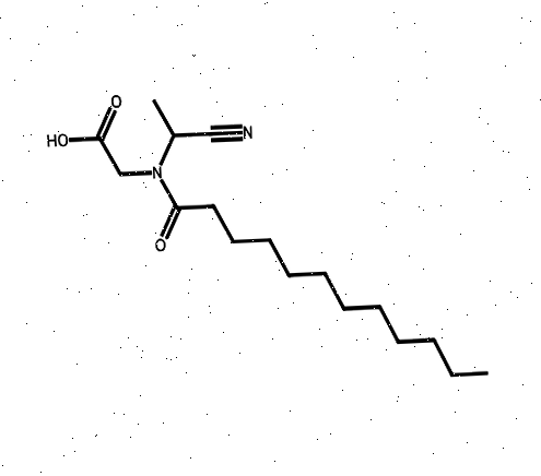 CCCCCCCCCCCC(=O)N(CC(=O)O)C(C)C#N